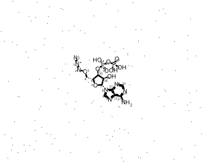 [N-]=[N+]=NOC[C@H]1O[C@@H](n2cnc3c(N)ncnc32)[C@H](O)[C@@H]1OP(=O)(O)OP(=O)(O)O